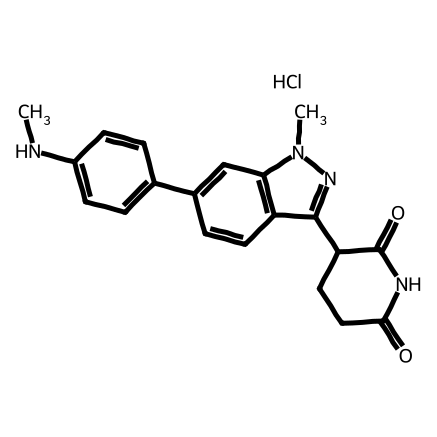 CNc1ccc(-c2ccc3c(C4CCC(=O)NC4=O)nn(C)c3c2)cc1.Cl